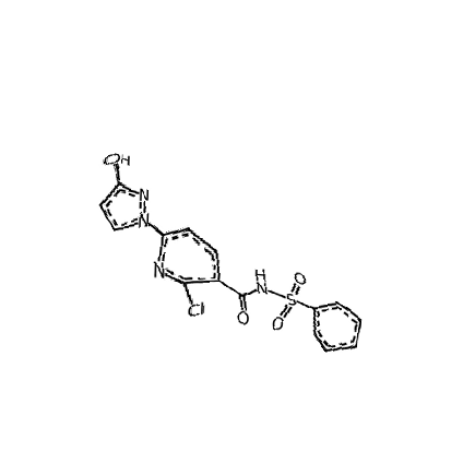 O=C(NS(=O)(=O)c1ccccc1)c1ccc(-n2ccc(O)n2)nc1Cl